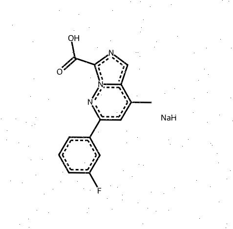 Cc1cc(-c2cccc(F)c2)nn2c(C(=O)O)ncc12.[NaH]